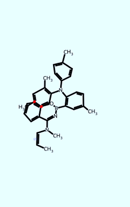 C/C=C\N(C)C1=NB(c2cc(C)ccc2N(c2ccc(C)cc2)c2ccc(C)cc2C)Oc2ccccc21